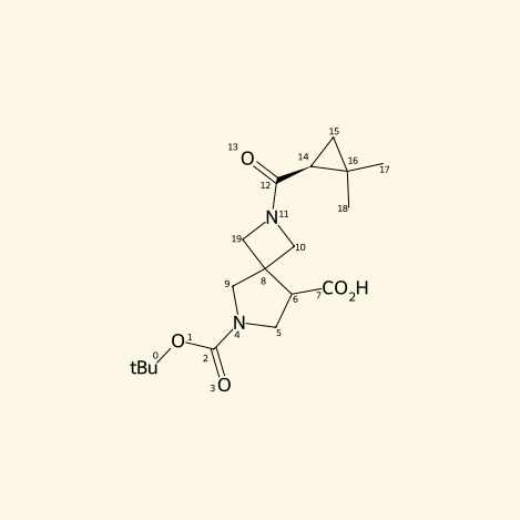 CC(C)(C)OC(=O)N1CC(C(=O)O)C2(C1)CN(C(=O)[C@H]1CC1(C)C)C2